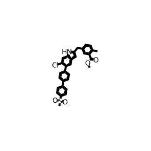 COC(=O)c1cc(Cc2cc3cc(-c4ccc(-c5ccc(S(C)(=O)=O)cc5)cc4)c(Cl)cc3[nH]2)ccc1C